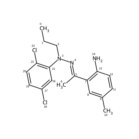 CCCN(/N=C(\C)c1cc(C)ccc1N)c1cc(Cl)ccc1Cl